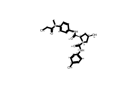 CN(C(=O)CCl)c1ccc(NC(=O)[C@H]2C[C@@H](O)CN2C(=O)Nc2ccc(Cl)cc2)cc1